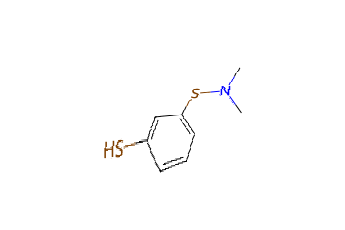 CN(C)Sc1cccc(S)c1